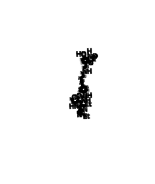 CCc1nc2c(cnn2CC)c(NC2CCOCC2)c1CNC(=O)Nc1ccc(C#CCCCNCCc2ccc(O)c3c2OCC(=O)N3)cc1